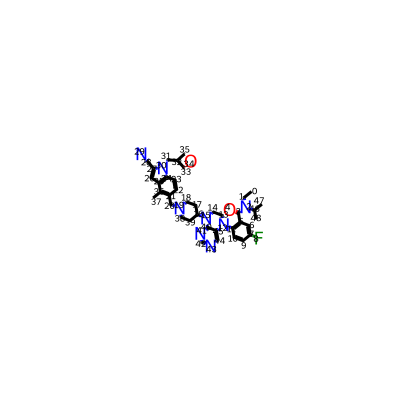 CCN(C(=O)c1cc(F)ccc1N1CCN(C2CCN(Cc3ccc4c(cc(C#N)n4CC4COC4)c3C)CC2)c2ncncc21)C(C)C